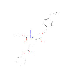 COc1ccc(COC(=O)[C@H](CCC(=O)OC2CCCCC2)NC(=O)OC(C)(C)C)cc1